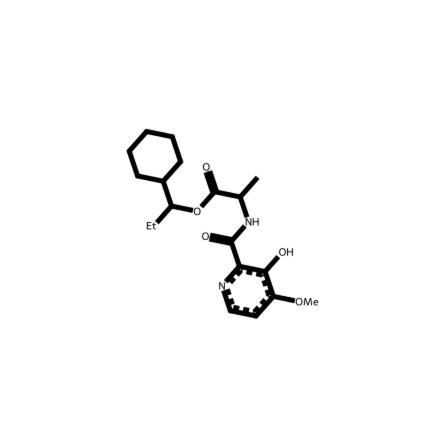 CCC(OC(=O)C(C)NC(=O)c1nccc(OC)c1O)C1CCCCC1